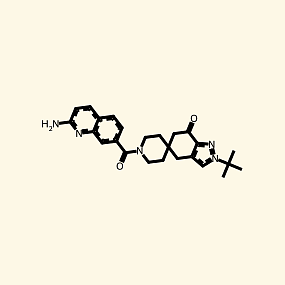 CC(C)(C)n1cc2c(n1)C(=O)CC1(CCN(C(=O)c3ccc4ccc(N)nc4c3)CC1)C2